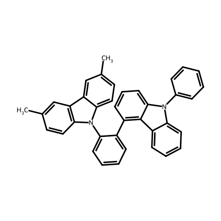 Cc1ccc2c(c1)c1cc(C)ccc1n2-c1ccccc1-c1cccc2c1c1ccccc1n2-c1ccccc1